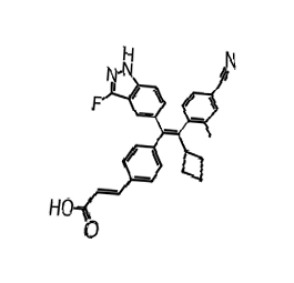 Cc1cc(C#N)ccc1C(=C(c1ccc(C=CC(=O)O)cc1)c1ccc2[nH]nc(F)c2c1)C1CCC1